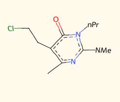 CCCn1c(NC)nc(C)c(CCCl)c1=O